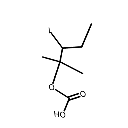 CCC(I)C(C)(C)OC(=O)O